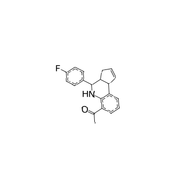 CC(=O)c1cccc2c1NC(c1ccc(F)cc1)C1CC=CC21